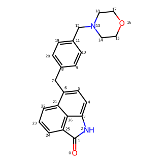 O=C1Nc2ccc(Cc3ccc(CN4CCOCC4)cc3)c3cccc1c23